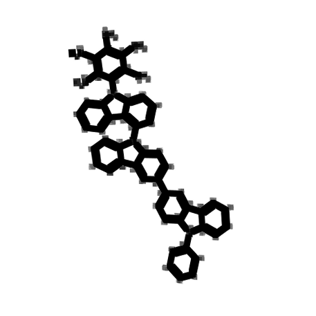 Bc1c(B)c(B)c(-n2c3ccccc3c3c(-n4c5ccccc5c5cc(-c6ccc7c(c6)c6ccccc6n7-c6ccccc6)ccc54)cccc32)c(B)c1B